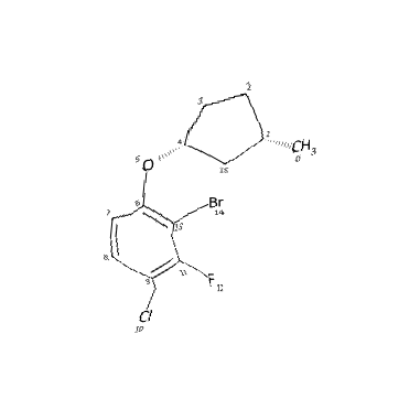 C[C@H]1CC[C@@H](Oc2ccc(Cl)c(F)c2Br)C1